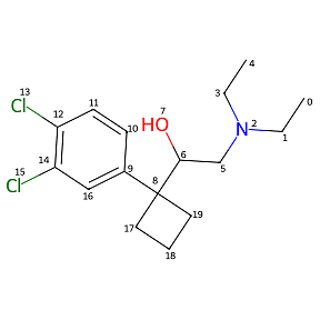 CCN(CC)CC(O)C1(c2ccc(Cl)c(Cl)c2)CCC1